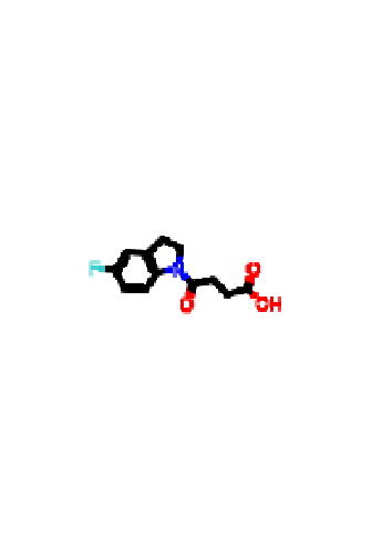 O=C(O)CCC(=O)N1CCc2cc(F)ccc21